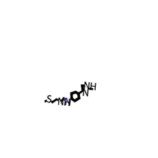 CSCCN/C=N/c1ccc(-c2c[nH]c(C)n2)cc1